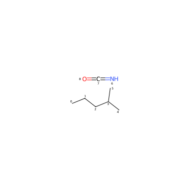 CCCC(C)C.N=C=O